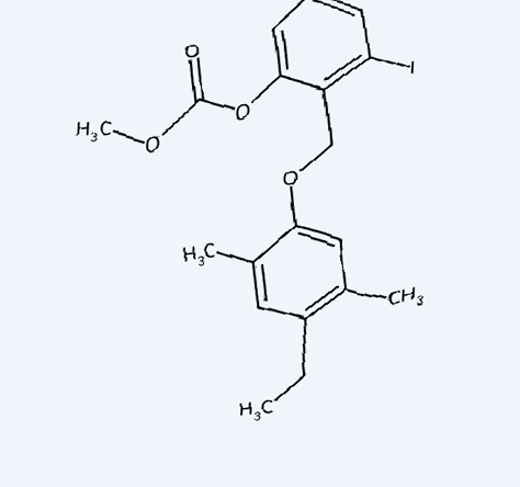 CCc1cc(C)c(OCc2c(I)cccc2OC(=O)OC)cc1C